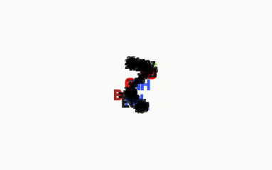 CCN(Cc1cc(C(=O)NCCCCOC(=O)C(C)(F)c2ccc(-c3ccccc3)cc2)cc(Br)c1N)C1CCCCC1